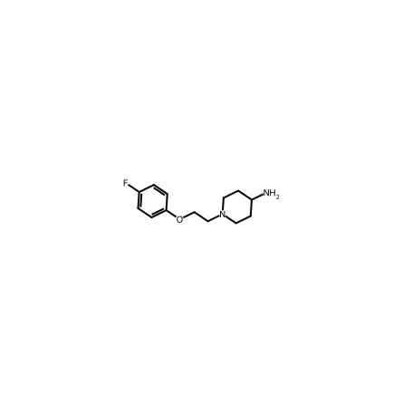 NC1CCN(CCOc2ccc(F)cc2)CC1